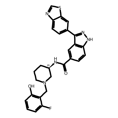 O=C(N[C@@H]1CCCN(Cc2c(O)cccc2F)C1)c1ccc2[nH]nc(-c3ccc4ncsc4c3)c2c1